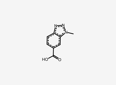 Cn1nnc2ccc(C(=O)O)cc21